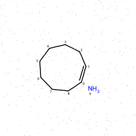 C1=CCCCCCCC1.N